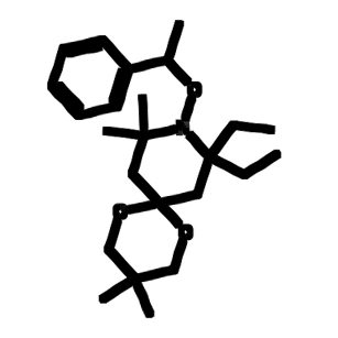 CCC1(CC)CC2(CC(C)(C)N1OC(C)c1ccccc1)OCC(C)(C)CO2